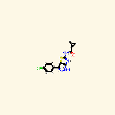 O=C(Nc1nc2[nH]nc(-c3ccc(Cl)cc3)c2s1)C1CC1